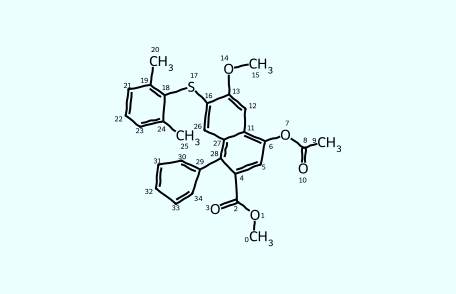 COC(=O)c1cc(OC(C)=O)c2cc(OC)c(Sc3c(C)cccc3C)cc2c1-c1ccccc1